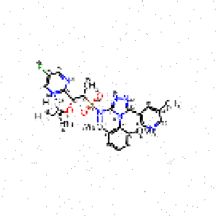 COc1cccc(OC)c1-n1c(NS(=O)(=O)[C@H](C)[C@H](O[Si](C)(C)C(C)(C)C)c2ncc(F)cn2)nnc1-c1cncc(C)c1